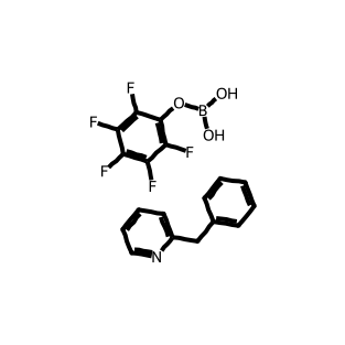 OB(O)Oc1c(F)c(F)c(F)c(F)c1F.c1ccc(Cc2ccccn2)cc1